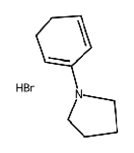 Br.C1=CC(N2CCCC2)=CCC1